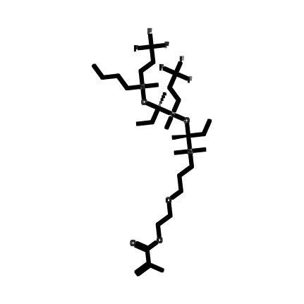 C=C(C)C(=O)OCCOCCC[Si](C)(C)[C@@](C)(CC)O[Si](C)(CCC(F)(F)F)[C@@](C)(CC)O[Si](C)(CCCC)CCC(F)(F)F